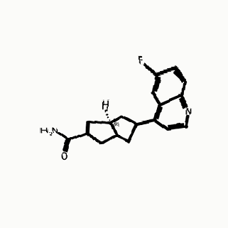 NC(=O)C1CC2CC(c3ccnc4ccc(F)cc34)C[C@@H]2C1